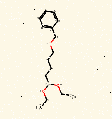 CCO[SiH](CCCCOCc1ccccc1)OCC